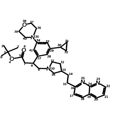 CC(C)(C)OC(=O)CC(CN1CCC(CCc2ccc3cccnc3n2)C1)c1cc(C2CC2)cc(N2CCOCC2)c1